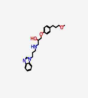 COCCCc1ccc(OCC(O)CNCCCn2cnc3ccccc32)cc1